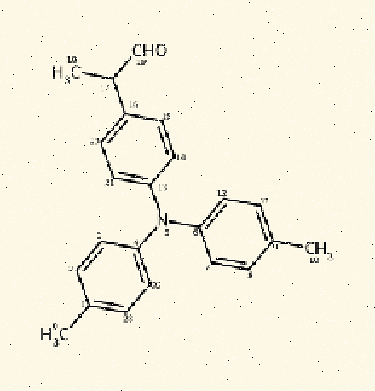 Cc1ccc(N(c2ccc(C)cc2)c2ccc(C(C)C=O)cc2)cc1